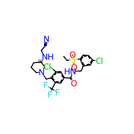 CCS(=O)(=O)c1ccc(Cl)cc1CNC(=O)c1cc(Cl)c(CN2CCC[C@H](NCC#N)C2)c(C(F)(F)F)c1